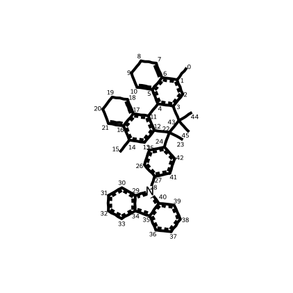 Cc1cc2c(c3c1=CCCC=3)-c1c(cc(C)c3c1=CCCC=3)C(C)(c1ccc(-n3c4ccccc4c4ccccc43)cc1)C2(C)C